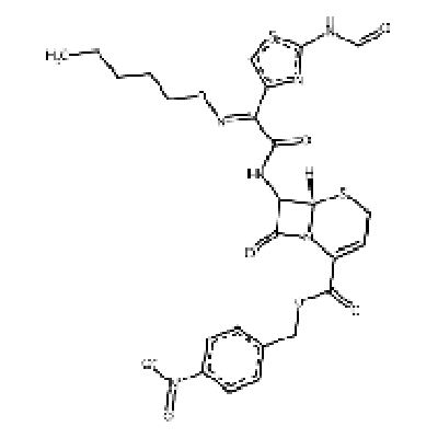 CCCCCON=C(C(=O)NC1C(=O)N2C(C(=O)OCc3ccc([N+](=O)[O-])cc3)=CCS[C@@H]12)c1csc(NC=O)n1